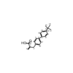 C=C(Cc1ccc(-c2ccc(C(C)(C)C)cc2)cc1)C(=O)O